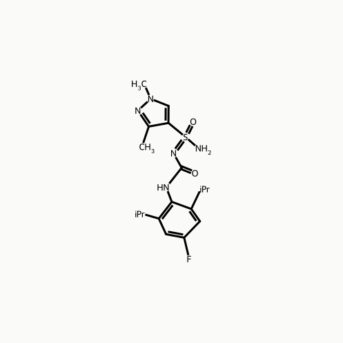 Cc1nn(C)cc1S(N)(=O)=NC(=O)Nc1c(C(C)C)cc(F)cc1C(C)C